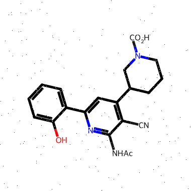 CC(=O)Nc1nc(-c2ccccc2O)cc(C2CCCN(C(=O)O)C2)c1C#N